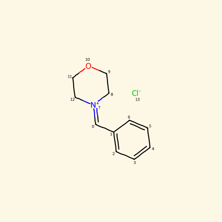 C(c1ccccc1)=[N+]1CCOCC1.[Cl-]